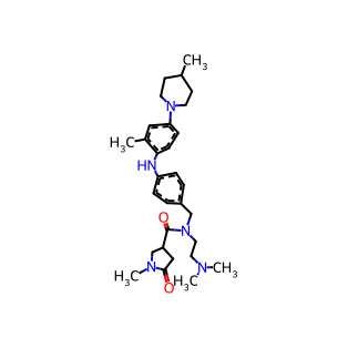 Cc1cc(N2CCC(C)CC2)ccc1Nc1ccc(CN(CCN(C)C)C(=O)C2CC(=O)N(C)C2)cc1